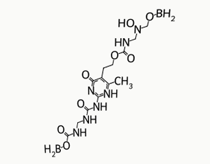 BOCN(O)CNC(=O)OCCc1c(C)[nH]c(NC(=O)NCNC(=O)OB)nc1=O